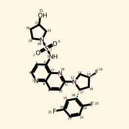 O=S(=O)(Nc1ccnc2ccc(N3C[C@@H](F)C[C@@H]3c3cc(F)ccc3F)nc12)N1CCC(O)C1